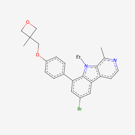 CCn1c2c(-c3ccc(OCC4(C)COC4)cc3)cc(Br)cc2c2ccnc(C)c21